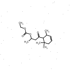 CCOC(=O)OC(C)CC(=O)C1C(C)C=CCC1(C)C